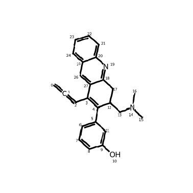 C=C=CC1=C(c2cccc(O)c2)C(CN(C)C)Cc2nc3ccccc3cc21